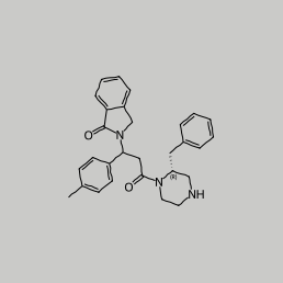 Cc1ccc(C(CC(=O)N2CCNC[C@H]2Cc2ccccc2)N2Cc3ccccc3C2=O)cc1